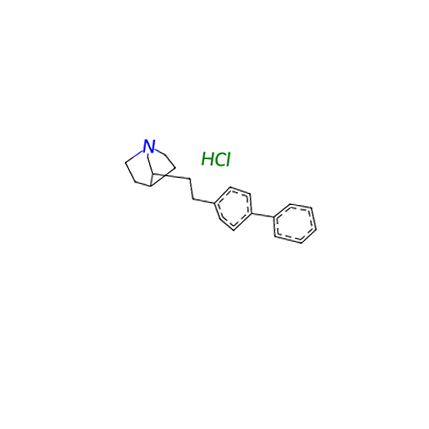 Cl.c1ccc(-c2ccc(CCC3CN4CCC3CC4)cc2)cc1